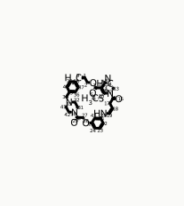 C=CCOC(=O)/C(C#N)=C(\SC)N(CC)C(=O)C/C=C\Nc1cccc(OCC(=O)N2CCN(Cc3ccccc3)CC2)c1